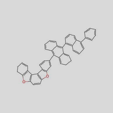 C1=Cc2c(oc3ccc4oc5cc(-c6c7c(c(-c8cccc9c(-c%10ccccc%10)cccc89)c8ccccc68)=CCCC=7)ccc5c4c23)CC1